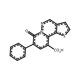 O=C(O)c1cc(-c2ccccc2)c(=O)n2ncc3ccsc3c12